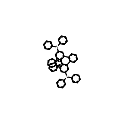 c1ccc(N(c2ccccc2)c2cc(-c3ccccc3-c3cc(N(c4ccccc4)c4ccccc4)cc4c3sc3ccccc34)c3sc4ccccc4c3c2)cc1